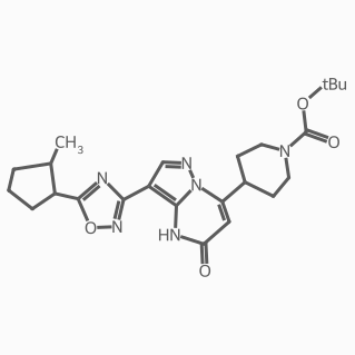 CC1CCCC1c1nc(-c2cnn3c(C4CCN(C(=O)OC(C)(C)C)CC4)cc(=O)[nH]c23)no1